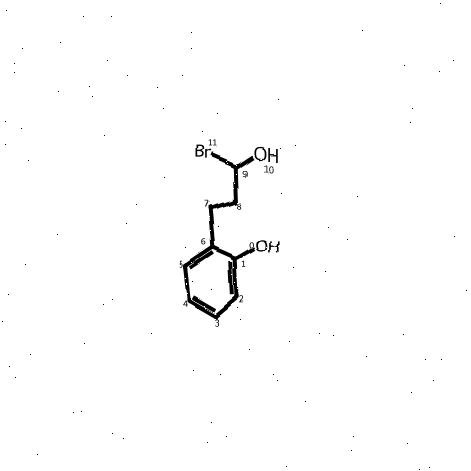 Oc1ccccc1CCC(O)Br